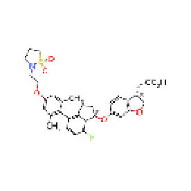 Cc1cc(OCCN2CCCS2(=O)=O)cc(C)c1-c1ccc(F)c2c1CC[C@H]2Oc1ccc2c(c1)OC[C@H]2CC(=O)O